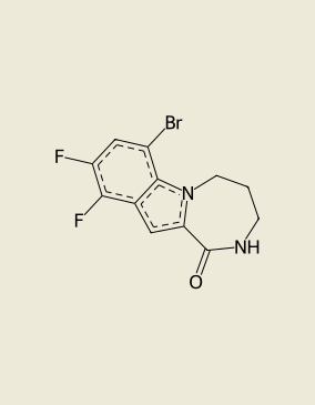 O=C1NCCCn2c1cc1c(F)c(F)cc(Br)c12